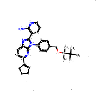 CC(C)(C)[Si](C)(C)OCc1ccc(-n2c(-c3cccnc3N)nc3ccc(C4=CCCC4)nc32)cc1